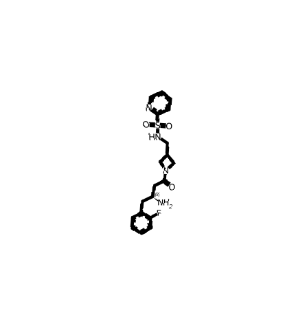 N[C@@H](CC(=O)N1CC(CNS(=O)(=O)c2ccccn2)C1)Cc1ccccc1F